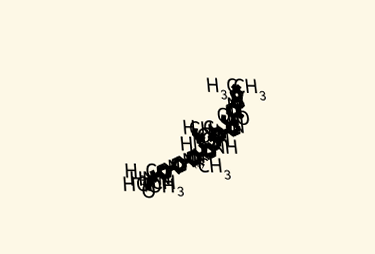 C=CC(=O)Nc1cc(Nc2nc(-c3ccnc(N4CCn5c(cc6c5CC(C)(C)C6)C4=O)c3CO)cn(C)c2=O)ccc1N1CCN(C2CCN(c3ccc(C(C)(C)NP(=O)(O)O)nc3)CC2)C[C@@H]1C